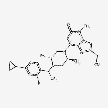 CC[C@@H]1CN(c2cc(=O)n(C)c3cc(CC#N)nn23)[C@@H](C)CN1C(C)c1ccc(C2CC2)cc1F